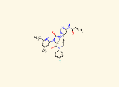 C=CC(=O)Nc1cc(C#CCN(C(=O)[C@@H]2CNC(=O)N2c2cc(C(F)(F)F)cc(C)n2)c2ccc(F)cc2)ncn1